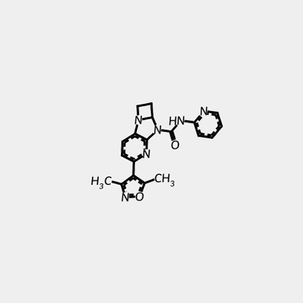 Cc1noc(C)c1-c1ccc2c(n1)N(C(=O)Nc1ccccn1)C1CCN21